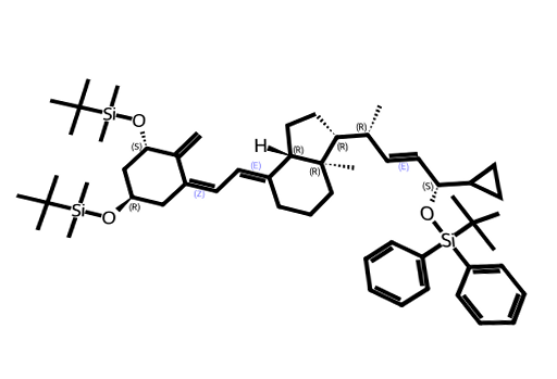 C=C1/C(=C\C=C2/CCC[C@]3(C)[C@@H]([C@H](C)/C=C/[C@@H](O[Si](c4ccccc4)(c4ccccc4)C(C)(C)C)C4CC4)CC[C@@H]23)C[C@@H](O[Si](C)(C)C(C)(C)C)C[C@@H]1O[Si](C)(C)C(C)(C)C